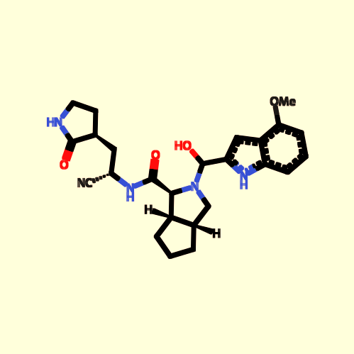 COc1cccc2[nH]c(C(O)N3C[C@@H]4CCC[C@@H]4[C@H]3C(=O)N[C@H](C#N)C[C@@H]3CCNC3=O)cc12